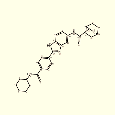 O=C(NC1CCCCC1)c1ccc(-c2nc3cc(NC(=O)C4CC5CCC4CC5)ccc3[nH]2)cc1